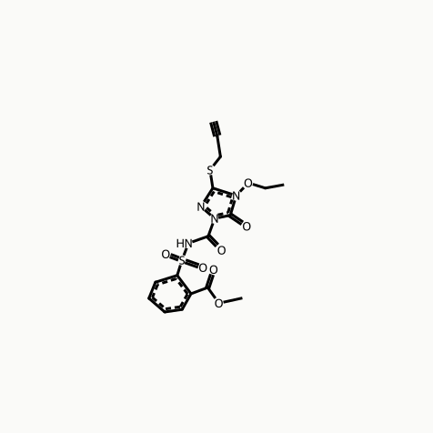 C#CCSc1nn(C(=O)NS(=O)(=O)c2ccccc2C(=O)OC)c(=O)n1OCC